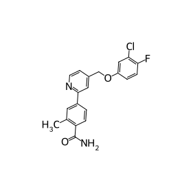 Cc1cc(-c2cc(COc3ccc(F)c(Cl)c3)ccn2)ccc1C(N)=O